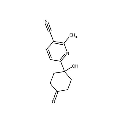 Cc1nc(C2(O)CCC(=O)CC2)ccc1C#N